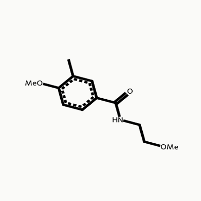 COCCNC(=O)c1ccc(OC)c(C)c1